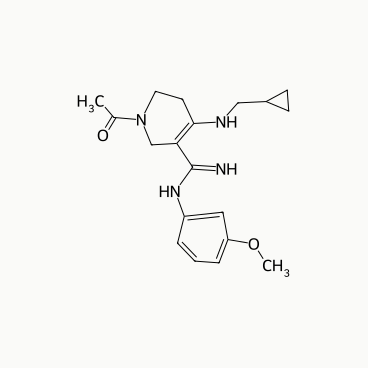 COc1cccc(NC(=N)C2=C(NCC3CC3)CCN(C(C)=O)C2)c1